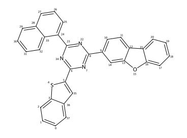 c1ccc2sc(-c3nc(-c4ccc5c(c4)oc4ccccc45)nc(-c4cccc5ccccc45)n3)cc2c1